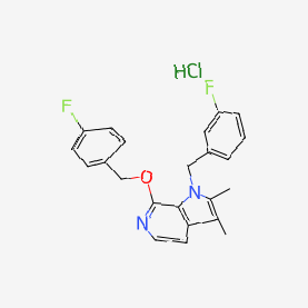 Cc1c(C)n(Cc2cccc(F)c2)c2c(OCc3ccc(F)cc3)nccc12.Cl